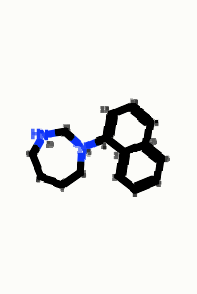 c1ccc2c(N3CCCCNC3)cccc2c1